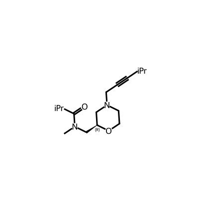 CC(C)C#CCN1CCO[C@@H](CN(C)C(=O)C(C)C)C1